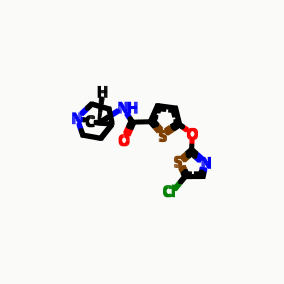 O=C(N[C@H]1CN2CCC1CC2)c1ccc(Oc2ncc(Cl)s2)s1